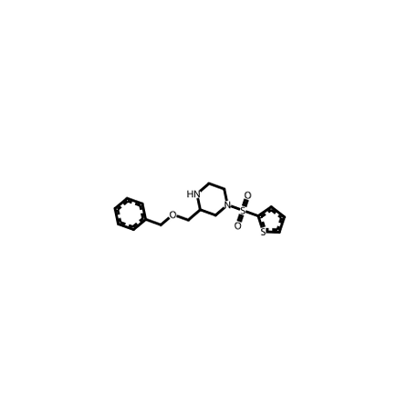 O=S(=O)(c1cccs1)N1CCNC(COCc2ccccc2)C1